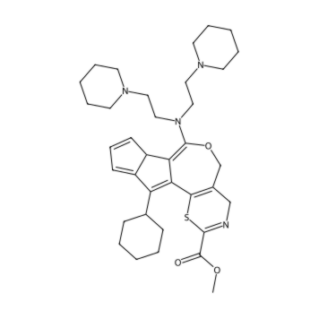 COC(=O)C1=NCC2=C(S1)C1=C(C3CCCCC3)C3=CC=CC3C1=C(N(CCN1CCCCC1)CCN1CCCCC1)OC2